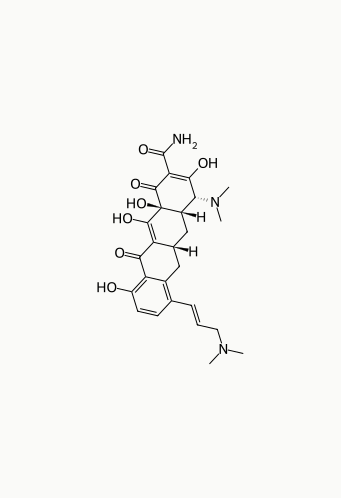 CN(C)C/C=C/c1ccc(O)c2c1C[C@H]1C[C@H]3[C@@H](N(C)C)C(O)=C(C(N)=O)C(=O)[C@@]3(O)C(O)=C1C2=O